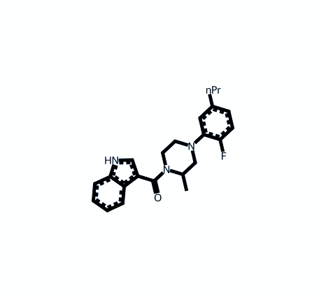 C[CH]Cc1ccc(F)c(N2CCN(C(=O)c3c[nH]c4ccccc34)C(C)C2)c1